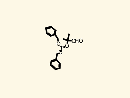 CC(C)(C=O)OP(OCc1ccccc1)OCc1ccccc1